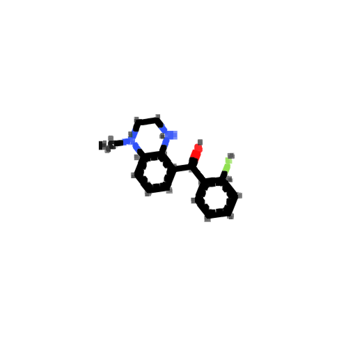 CN1CCNc2c(C(=O)c3ccccc3F)cccc21